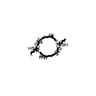 C/C=C/[C@H](O)C(C)(C)[C@@H]1C/C=C\C2C[C@@H]2/C=C/C=C\c2nc(cs2)C(=O)O[C@H](C(C)(C)[C@@H](O)/C=C/C)C/C=C\[C@H]2N[C@H]2/C=C/C=C\c2nc(cs2)C(=O)O1